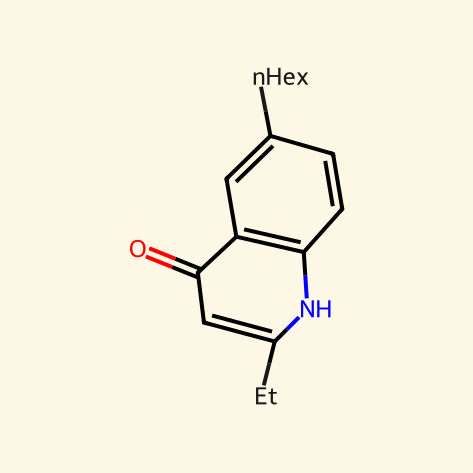 CCCCCCc1ccc2[nH]c(CC)cc(=O)c2c1